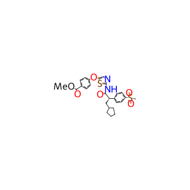 COC(=O)c1ccc(Oc2cnc(NC(=O)[C@H](CC3CCCC3)c3ccc(S(C)(=O)=O)cc3)s2)cc1